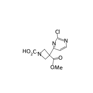 COC(=O)C1(c2ccnc(Cl)n2)CN(C(=O)O)C1